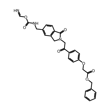 N=COC(=O)NCc1ccc2c(c1)CN(CC(=O)c1ccc(OCC(=O)OCc3ccccc3)cc1)C2=O